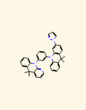 CC1(C)c2ccccc2N(c2cccc(N3c4ccccc4C(C)(C)c4cccnc43)c2)c2cc(-n3cccn3)ccc21